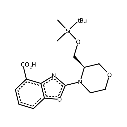 CC(C)(C)[Si](C)(C)OC[C@H]1COCCN1c1nc2c(C(=O)O)cccc2o1